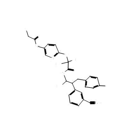 CCC(=O)Nc1ccc(OC(C)(C)C(=O)NC(C)C(Cc2ccc(Cl)cc2)c2cccc(C#N)c2)nc1